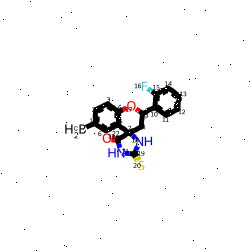 Bc1ccc2c(c1)C1(CC(c3ccccc3F)O2)NC(=S)NC1=O